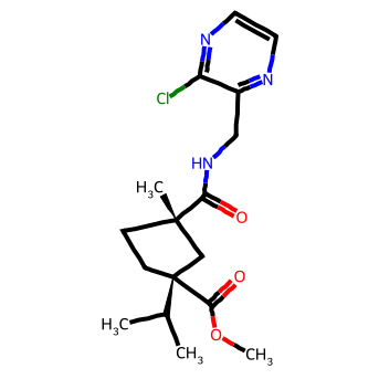 COC(=O)[C@]1(C(C)C)CC[C@](C)(C(=O)NCc2nccnc2Cl)C1